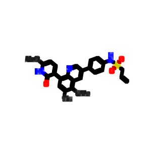 C=CCS(=O)(=O)Nc1ccc(-c2cnc3c(-c4ccc(OC)[nH]c4=O)cc(C(C)(C)C)c(OC)c3c2)cc1